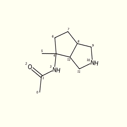 CC(=O)NC1(C)CCC2CNCC21